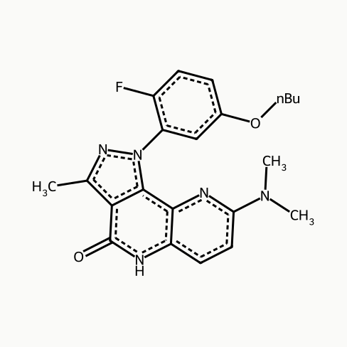 CCCCOc1ccc(F)c(-n2nc(C)c3c(=O)[nH]c4ccc(N(C)C)nc4c32)c1